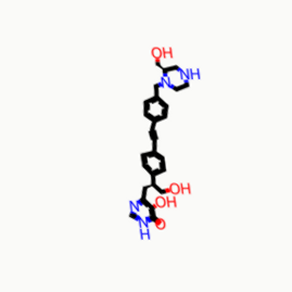 O=c1[nH]cnc(C[C@H](CO)c2ccc(C#Cc3ccc(CN4CCNC[C@@H]4CO)cc3)cc2)c1O